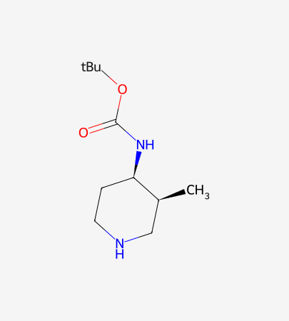 C[C@H]1CNCC[C@H]1NC(=O)OC(C)(C)C